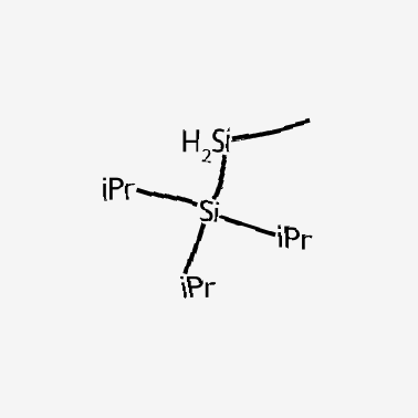 C[SiH2][Si](C(C)C)(C(C)C)C(C)C